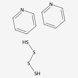 SSSS.c1ccncc1.c1ccncc1